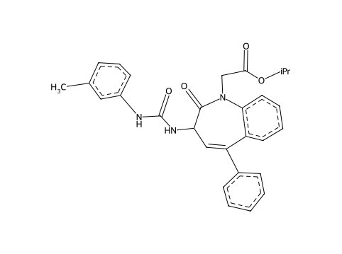 Cc1cccc(NC(=O)NC2C=C(c3ccccc3)c3ccccc3N(CC(=O)OC(C)C)C2=O)c1